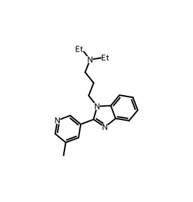 CCN(CC)CCCn1c(-c2cncc(C)c2)nc2ccccc21